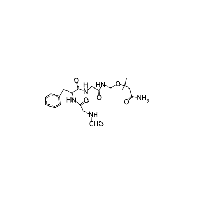 CC(C)(CC(N)=O)OCNC(=O)CNC(=O)C(Cc1ccccc1)NC(=O)CNC=O